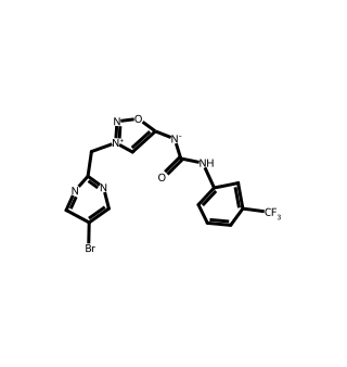 O=C([N-]c1c[n+](Cc2ncc(Br)cn2)no1)Nc1cccc(C(F)(F)F)c1